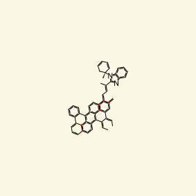 C=C/C(=C\C=C(/C)c1nc2ccccc2n1[C@@]1(C)C=CC=CC1)c1ccc2c(-c3ccccc3C3=CC=CCC3)c3ccccc3c(C(=C/C)/C(=C\C)c3ccccc3)c2c1